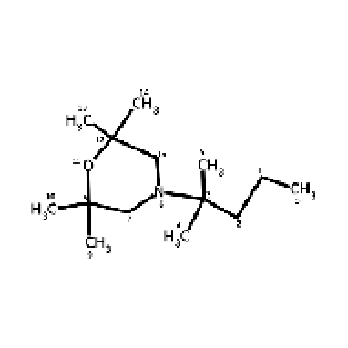 CCCC(C)(C)N1CC(C)(C)OC(C)(C)C1